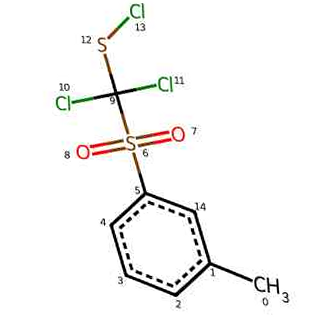 Cc1cccc(S(=O)(=O)C(Cl)(Cl)SCl)c1